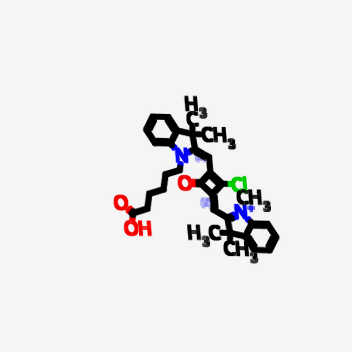 C[N+]1=C(/C=C2/C(=O)C(/C=C3\N(CCCCCC(=O)O)c4ccccc4C3(C)C)=C2Cl)C(C)(C)c2ccccc21